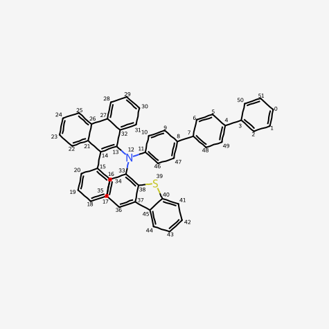 c1ccc(-c2ccc(-c3ccc(N(c4c(-c5ccccc5)c5ccccc5c5ccccc45)c4cccc5c4sc4ccccc45)cc3)cc2)cc1